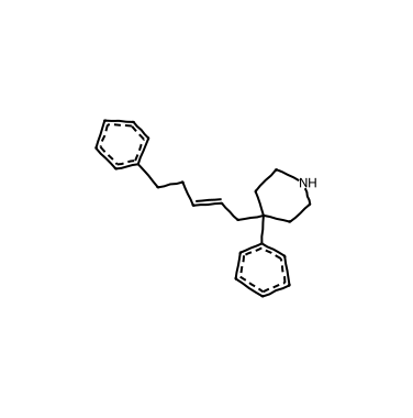 C(=C\CC1(c2ccccc2)CCNCC1)/CCc1ccccc1